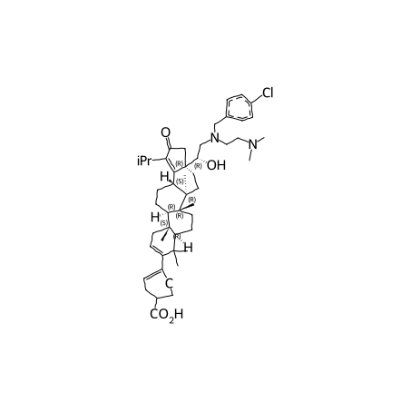 CC(C)C1=C2[C@H]3CC[C@@H]4[C@@]5(C)CC=C(C6=CCC(C(=O)O)CC6)C(C)(C)[C@@H]5CC[C@@]4(C)[C@]3(C)CC[C@@]2([C@@H](O)CN(CCN(C)C)Cc2ccc(Cl)cc2)CC1=O